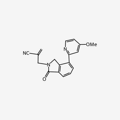 C=C(C#N)CN1Cc2c(cccc2-c2cc(OC)ccn2)C1=O